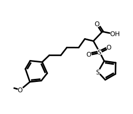 COc1ccc(CCCCCC(C(=O)O)S(=O)(=O)c2cccs2)cc1